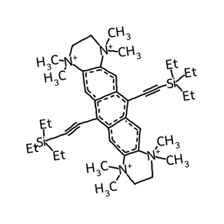 CC[Si](C#Cc1c2cc3c(cc2c(C#C[Si](CC)(CC)CC)c2cc4c(cc12)[N+](C)(C)CC[N+]4(C)C)[N+](C)(C)CC[N+]3(C)C)(CC)CC